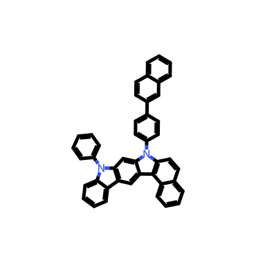 c1ccc(-n2c3ccccc3c3cc4c5c6ccccc6ccc5n(-c5ccc(-c6ccc7ccccc7c6)cc5)c4cc32)cc1